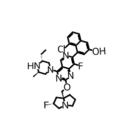 CC[C@@H]1CN(c2nc(OC[C@@]34CCCN3C[C@H](F)C4)nc3c(F)c(-c4cc(O)cc5cccc(Cl)c45)ncc23)C[C@@H](C)N1